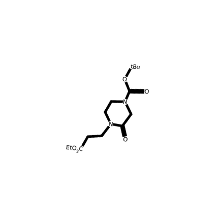 CCOC(=O)CCN1CCN(C(=O)OC(C)(C)C)CC1=O